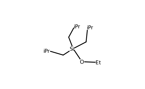 CCO[Si](CC(C)C)(CC(C)C)CC(C)C